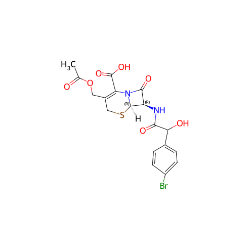 CC(=O)OCC1=C(C(=O)O)N2C(=O)[C@@H](NC(=O)C(O)c3ccc(Br)cc3)[C@H]2SC1